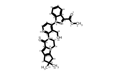 COC(=O)c1nn(-c2ccnc(N3CCn4c(cc5c4CC(C)(C)C5)C3=O)c2CO)c2ccccc12